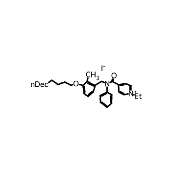 CCCCCCCCCCCCCCOc1cccc(CN(C(=O)c2cc[n+](CC)cc2)c2ccccc2)c1C.[I-]